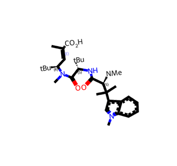 CN[C@H](C(=O)N[C@H](C(=O)N(C)[C@H](/C=C(\C)C(=O)O)C(C)(C)C)C(C)(C)C)C(C)(C)c1cn(C)c2ccccc12